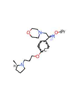 CC(C)O/N=C(\CN1CCOCC1)c1ccc(OCCCN2CCC[C@H]2C)cc1